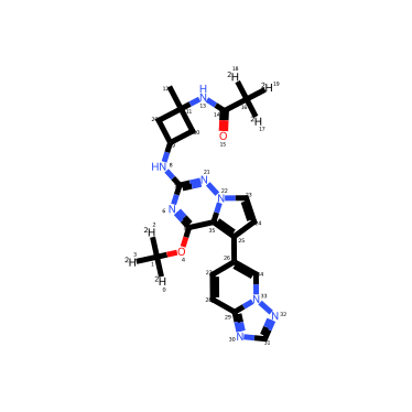 [2H]C([2H])([2H])Oc1nc(NC2CC(C)(NC(=O)C([2H])([2H])[2H])C2)nn2ccc(-c3ccc4ncnn4c3)c12